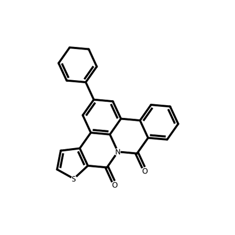 O=c1c2ccccc2c2cc(C3=CCCC=C3)cc3c4ccsc4c(=O)n1c23